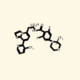 O=C(N[C@@H](Cc1ccc(-c2ncccc2C(F)(F)F)c2nccn12)C(=O)O)c1c(F)cc(N2CCOC[C@@H]2C(F)(F)F)cc1F